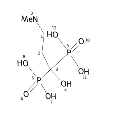 CNCCC(O)(P(=O)(O)O)P(=O)(O)O